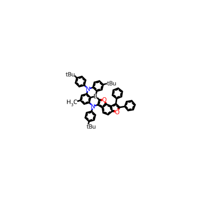 Cc1cc2c3c(c1)N(c1ccc(C(C)(C)C)cc1)c1c(oc4c1ccc1oc(-c5ccccc5)c(-c5ccccc5)c14)B3c1cc(C(C)(C)C)ccc1N2c1ccc(C(C)(C)C)cc1